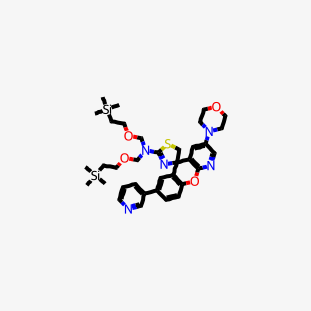 C[Si](C)(C)CCOCN(COCC[Si](C)(C)C)C1=NC2(CS1)c1cc(-c3cccnc3)ccc1Oc1ncc(N3CCOCC3)cc12